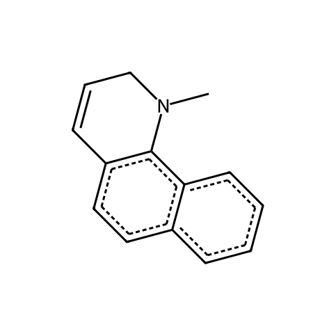 CN1CC=Cc2ccc3ccccc3c21